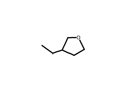 C[CH]C1CCOC1